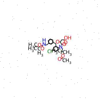 CC(=O)OCC(C)(C)CN1C(=O)C(CC(=O)O)OC(c2cccc(CNC(=O)OC(C)(C)C)c2)c2cc(Cl)ccc21